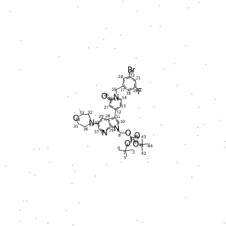 CC(C)(C)OP(=O)(OCn1cc(-c2ccn(Cc3cc(F)cc(Br)c3)c(=O)c2)c2cc(N3CCOCC3)cnc21)OC(C)(C)C